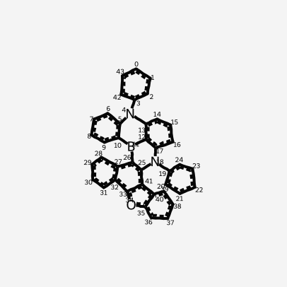 c1ccc(N2c3ccccc3B3c4c2cccc4N(c2ccccc2)c2c3c3ccccc3c3oc4ccccc4c23)cc1